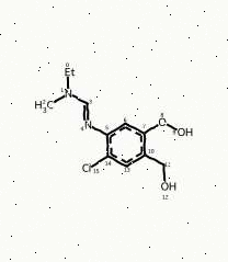 CCN(C)/C=N/c1cc(OO)c(CO)cc1Cl